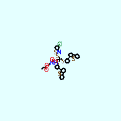 C=CC(=O)OCCNC(=O)OCC(CSc1cccc(-c2cccc3c2sc2ccccc23)c1)(CSc1cccc(-c2cccc3c2sc2ccccc23)c1)CSc1nc2cc(Cl)ccc2s1